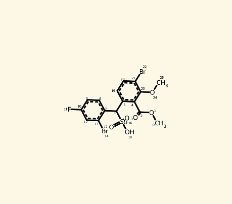 COC(=O)c1c(C(c2ccc(F)cc2Br)S(=O)(=O)O)ccc(Br)c1OC